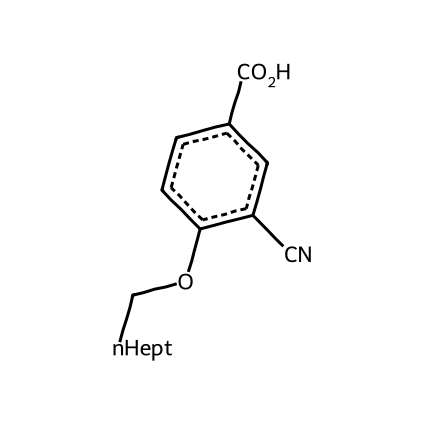 CCCCCCCCOc1ccc(C(=O)O)cc1C#N